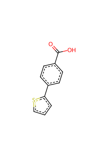 O=C(O)c1ccc(-c2cccs2)cc1